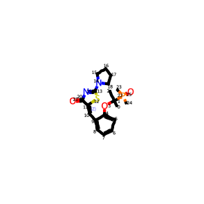 CC(C)(Oc1ccccc1/C=C1\SC(N2CCCC2)=NC1=O)P(C)(C)=O